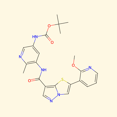 COc1ncccc1-c1cn2ncc(C(=O)Nc3cc(NC(=O)OC(C)(C)C)cnc3C)c2s1